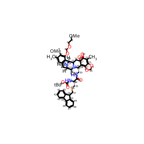 COCCOCOc1c(OC)c(C)cc2c1[C@H]1C3CC4(O)C(=O)C(C)=C5OCOC5=C4[C@H](CNC(=O)[C@H](CSCC4c5ccccc5-c5ccccc54)NC(=O)OC(C)(C)C)N3[C@@H](C#N)[C@@H](C2)N1C